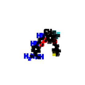 CC(NC(=O)CC(=O)Nc1ccc(C(=N)N)cc1)c1ccc(OCCc2ccsc2)c(C(F)(F)F)c1